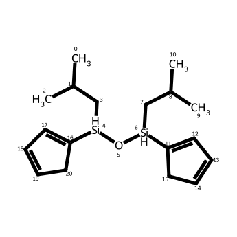 CC(C)C[SiH](O[SiH](CC(C)C)C1=CC=CC1)C1=CC=CC1